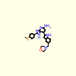 CSc1ccc(-c2nc3nc(N)cc(-c4cc5cc(CN6CCOCC6)ccc5[nH]4)c3[nH]2)cc1